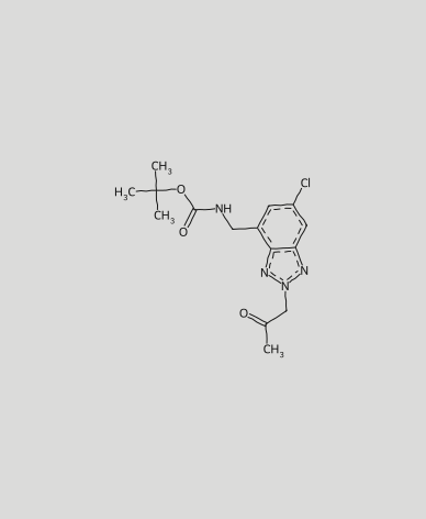 CC(=O)Cn1nc2cc(Cl)cc(CNC(=O)OC(C)(C)C)c2n1